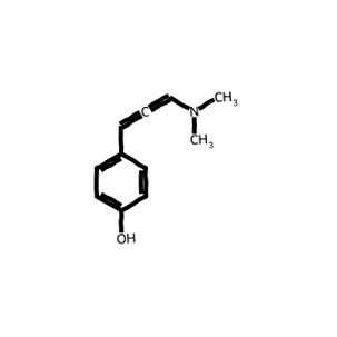 CN(C)C=C=Cc1ccc(O)cc1